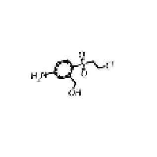 Nc1ccc(S(=O)(=O)CCCl)c(CO)c1